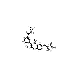 C/C(=C\c1ccc2ncn(-c3cc(C(=O)NC4CC4)ccc3C)c(=O)c2c1)C(=O)O